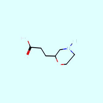 CN1CCOC(CCC(=O)O)C1